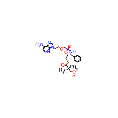 CC(C)(CO)C(=O)SCCOP(=O)(COCCn1cnc2c(N)ccnc21)NCc1ccccc1